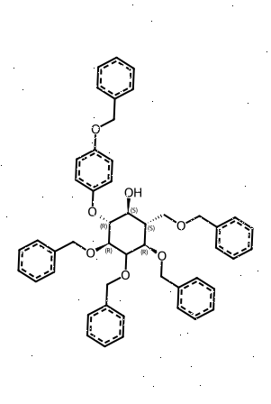 O[C@H]1[C@H](COCc2ccccc2)[C@@H](OCc2ccccc2)C(OCc2ccccc2)[C@@H](OCc2ccccc2)[C@@H]1Oc1ccc(OCc2ccccc2)cc1